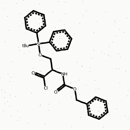 CC(C)(C)[Si](OCC(NC(=O)OCc1ccccc1)C(=O)Cl)(c1ccccc1)c1ccccc1